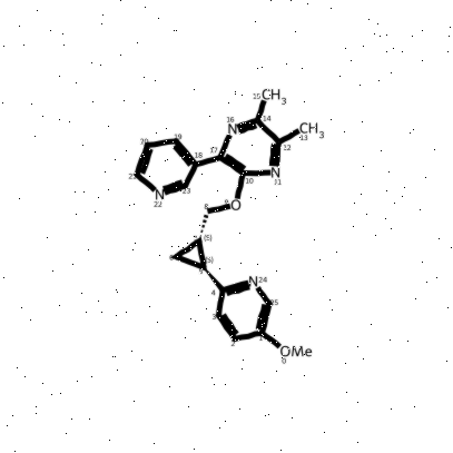 COc1ccc([C@H]2C[C@@H]2COc2nc(C)c(C)nc2-c2cccnc2)nc1